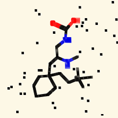 CNC(CNC(=O)O)CC1(CC[Si](C)(C)C)CCCCC1